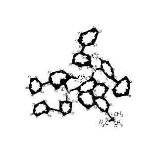 Cc1ccc(-c2ccccc2)cc1N(c1cccc(-c2ccccc2)c1)c1cc(N(c2cccc(-c3ccccc3)c2)c2cc(-c3ccccc3)ccc2C)c2ccc3cc(C(C)(C)C)cc4ccc1c2c43